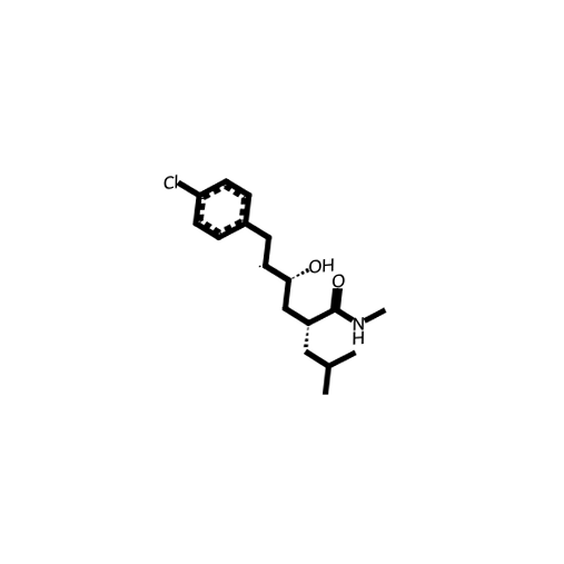 CNC(=O)[C@H](CC(C)C)C[C@@H](O)[CH]Cc1ccc(Cl)cc1